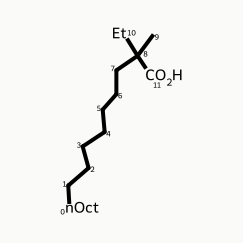 CCCCCCCCCCCCCCCC(C)(CC)C(=O)O